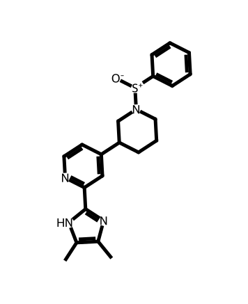 Cc1nc(-c2cc(C3CCCN([S+]([O-])c4ccccc4)C3)ccn2)[nH]c1C